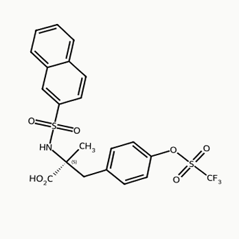 C[C@@](Cc1ccc(OS(=O)(=O)C(F)(F)F)cc1)(NS(=O)(=O)c1ccc2ccccc2c1)C(=O)O